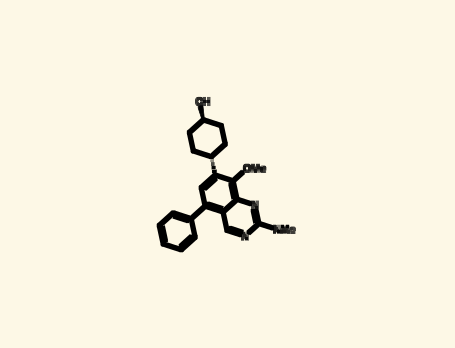 CNc1ncc2c(-c3ccccc3)cc([C@H]3CC[C@H](O)CC3)c(OC)c2n1